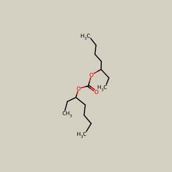 CCCCC(CC)OC(=O)OC(CC)CCCC